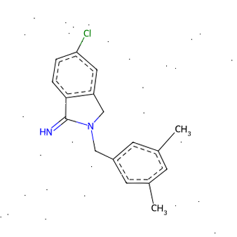 Cc1cc(C)cc(CN2Cc3cc(Cl)ccc3C2=N)c1